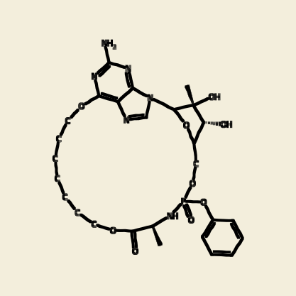 C[C@@H]1NP(=O)(Oc2ccccc2)OCC2OC(n3cnc4c(nc(N)nc43)OCCCCCCCOC1=O)[C@](C)(O)[C@@H]2O